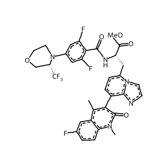 COC(=O)[C@H](Cc1ccc(-c2c(C)c3cc(F)ccc3n(C)c2=O)c2nccn12)NC(=O)c1c(F)cc(N2CCOC[C@H]2C(F)(F)F)cc1F